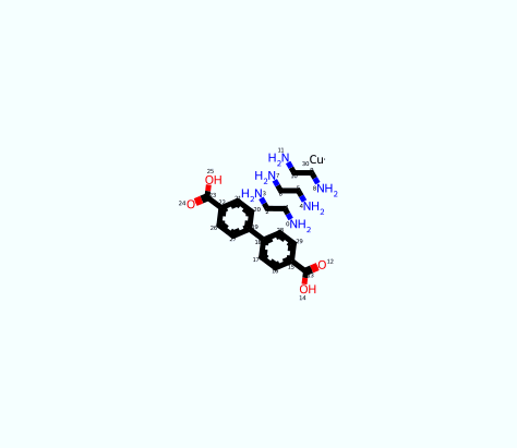 NCCN.NCCN.NCCN.O=C(O)c1ccc(-c2ccc(C(=O)O)cc2)cc1.[Cu]